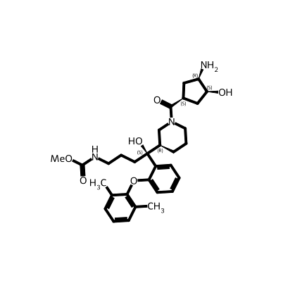 COC(=O)NCCC[C@@](O)(c1ccccc1Oc1c(C)cccc1C)[C@@H]1CCCN(C(=O)[C@H]2C[C@@H](N)[C@@H](O)C2)C1